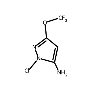 Nc1cc(OC(F)(F)F)nn1Cl